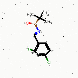 CC(C)(C)[S@+]([O-])/N=C/c1ccc(Cl)cc1F